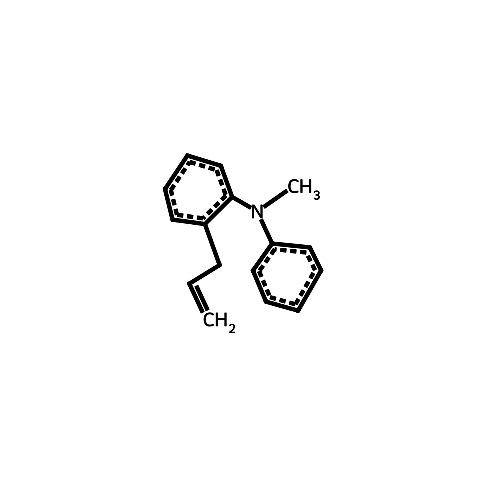 C=CCc1ccccc1N(C)c1ccccc1